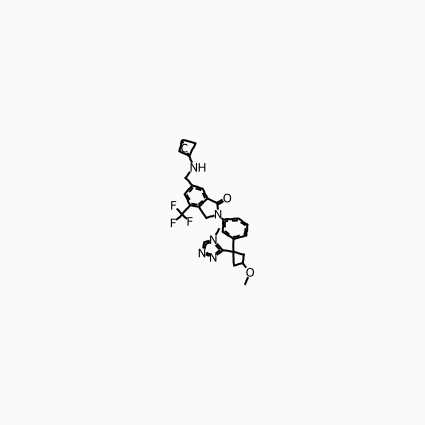 COC1CC(c2cccc(N3Cc4c(cc(CNC56CC(C5)C6)cc4C(F)(F)F)C3=O)c2)(c2nncn2C)C1